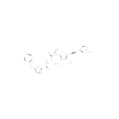 Cc1c(C#Cc2cnn(C)c2)sc2c1SC[C@H](N(C)C(=O)c1ncc(Cc3ccccc3)o1)C(=O)N2C